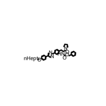 CCCCCCCOc1ccc(-c2cnc(-c3ccc(CC(NC(=O)OCc4ccccc4)C(=O)N4CCCC4)cc3)nc2)cc1